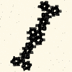 c1ccc(N(c2ccccc2)c2cc3cc4oc(-c5cc6c7c(c(-c8cc9cc%10oc(N(c%11ccccc%11)c%11ccccc%11)cc%10cc9o8)cc8c7c5CCC8)CCC6)cc4cc3o2)cc1